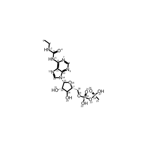 CCNC(=O)Nc1ncnc2c1ncn2[C@@H]1O[C@H](COP(=O)(O)OP(C)(=O)O)C(O)[C@@H]1O